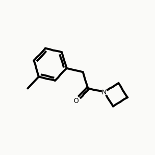 Cc1cccc(CC(=O)N2CCC2)c1